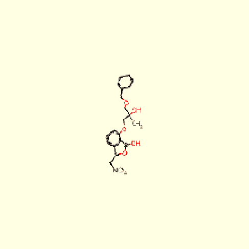 CC(O)(COCc1ccccc1)COc1cccc2c1B(O)OC2C[N+](=O)[O-]